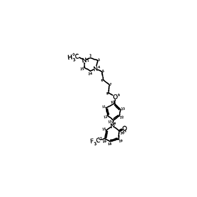 CN1CCN(CCCCOc2ccc(-n3cc(C(F)(F)F)ccc3=O)cc2)CC1